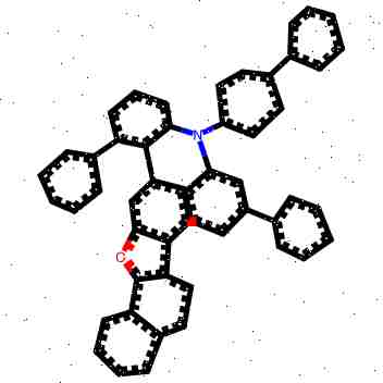 c1ccc(-c2ccc(N(c3cccc(-c4ccccc4)c3)c3cccc(-c4ccccc4)c3-c3ccc4c(c3)oc3c5ccccc5ccc43)cc2)cc1